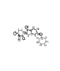 O=C1CCC(N2Cc3cc(OC4CCCCCC4)ccc3C2=O)C(=O)N1